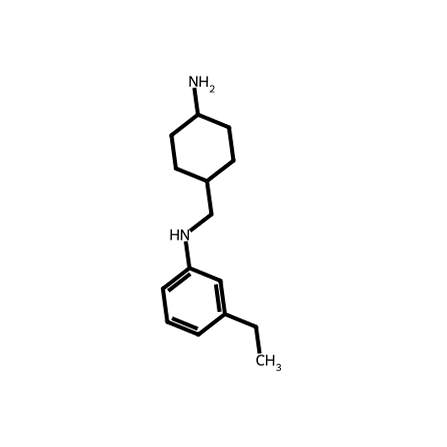 CCc1cccc(NCC2CCC(N)CC2)c1